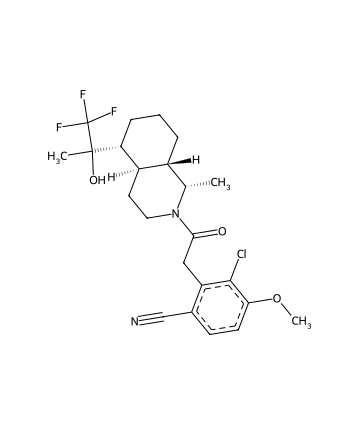 COc1ccc(C#N)c(CC(=O)N2CC[C@@H]3[C@H](CCC[C@H]3C(C)(O)C(F)(F)F)[C@@H]2C)c1Cl